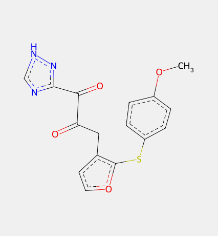 COc1ccc(Sc2occc2CC(=O)C(=O)c2nc[nH]n2)cc1